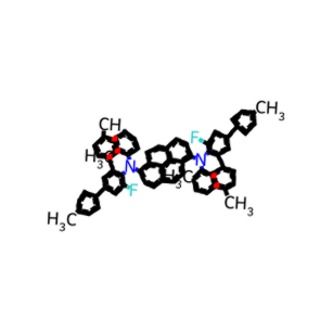 Cc1ccc(-c2cc(F)c(N(c3ccccc3C)c3ccc4ccc5c(N(c6ccccc6C)c6c(F)cc(-c7ccc(C)cc7)cc6-c6ccc(C)cc6)ccc6ccc3c4c65)c(-c3ccc(C)cc3)c2)cc1